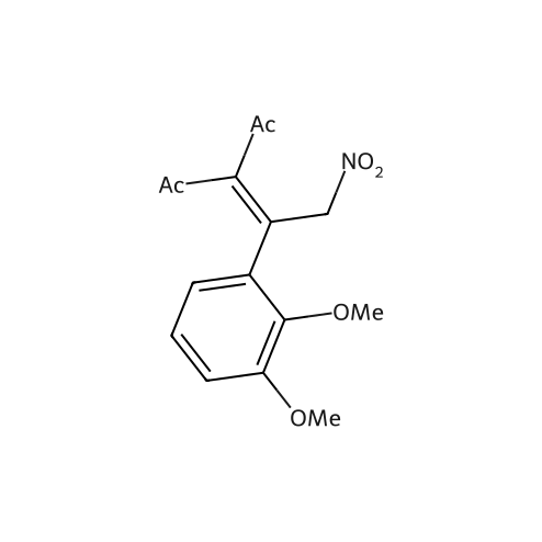 COc1cccc(C(C[N+](=O)[O-])=C(C(C)=O)C(C)=O)c1OC